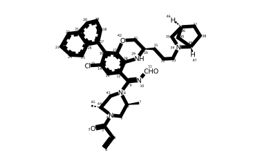 C=CC(=O)N1C[C@H](C)N(/C(=N/C=O)c2cc(Cl)c(-c3cccc4ccccc34)c3c2N[C@H](CCCN2C[C@H]4CC[C@@H]2C4)CO3)C[C@H]1C